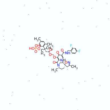 CC1=NO[C@@]2(CC[C@H](C)N3C[C@H]2n2cc(C(=O)NCc4ccc(F)cc4F)c(=O)c(OCOC(=O)CC(C)(C)c4c(C)cc(C)cc4OP(=O)(O)O)c2C3=O)C1